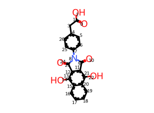 O=C(O)Cc1ccc(N2C(=O)c3c(c(O)c4ccccc4c3O)C2=O)cc1